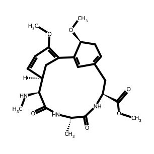 CN[C@@H]1C(=O)N[C@@H](C)C(=O)N[C@H](C(=O)OC)CC2=CC[C@H](OC)C(=C2)C2=C(OC)C=C[C@H]1C2